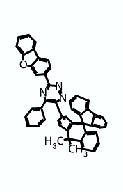 CC1(C)c2ccccc2C2(c3ccccc3-c3ccccc32)c2cc(-c3nnc(-c4ccc5c(c4)oc4ccccc45)nc3-c3ccccc3)ccc21